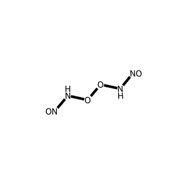 O=NNOONN=O